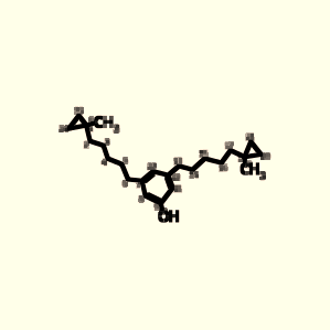 CC1(CCCCCc2cc(O)cc(CCCCCC3(C)CC3)c2)CC1